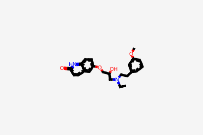 CCN(CCc1cccc(OC)c1)CC(O)COc1ccc2[nH]c(=O)ccc2c1